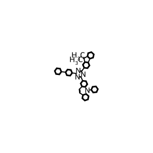 CC1(C)c2ccccc2-c2ccc(-c3nc(-c4ccc(-c5ccccc5)cc4)nc(-c4ccc5c(c4)C=Cc4ccccc4N5c4ccccc4)n3)cc21